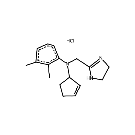 Cc1cccc(N(CC2=NCCN2)C2C=CCC2)c1C.Cl